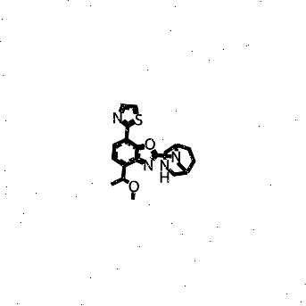 COC(C)c1ccc(-c2nccs2)c2oc(N3CC4CCC3CNC4)nc12